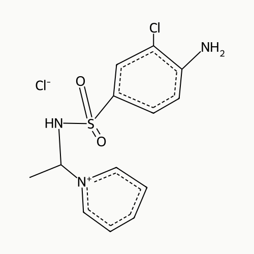 CC(NS(=O)(=O)c1ccc(N)c(Cl)c1)[n+]1ccccc1.[Cl-]